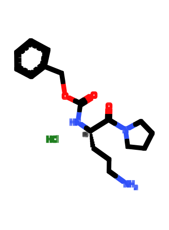 Cl.NCCC[C@H](NC(=O)OCc1ccccc1)C(=O)N1CCCC1